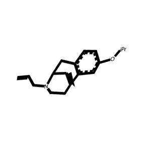 C=CCN1CCC23CCCCC2C1Cc1ccc(OC(C)C)cc13